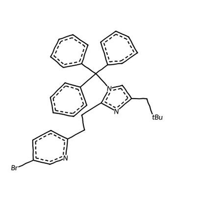 CC(C)(C)Cc1cn(C(c2ccccc2)(c2ccccc2)c2ccccc2)c(CCc2ccc(Br)cn2)n1